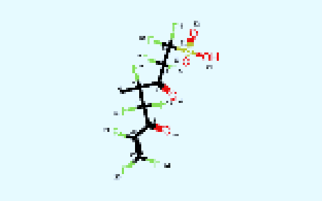 CC(F)(C(=O)C(F)(F)C(F)(F)S(=O)(=O)O)C(F)(F)C(=O)C(F)=C(F)F